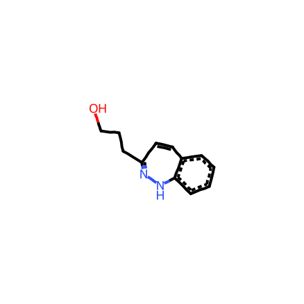 OCCCC1=NNc2ccccc2C=C1